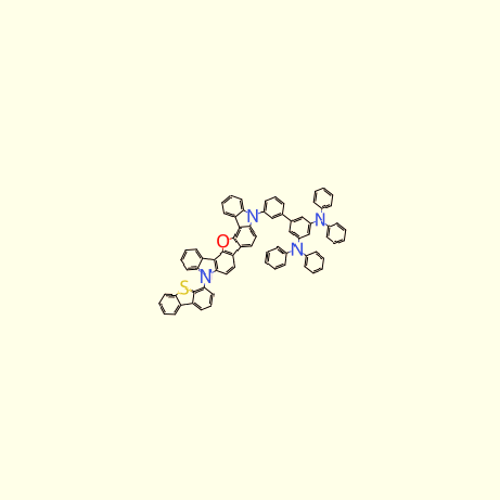 c1ccc(N(c2ccccc2)c2cc(-c3cccc(-n4c5ccccc5c5c6oc7c(ccc8c7c7ccccc7n8-c7cccc8c7sc7ccccc78)c6ccc54)c3)cc(N(c3ccccc3)c3ccccc3)c2)cc1